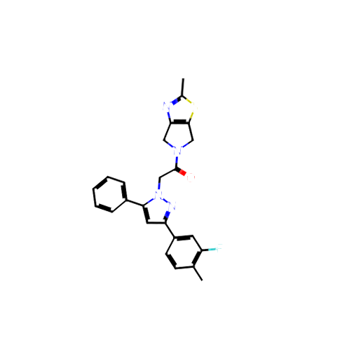 Cc1nc2c(s1)CN(C(=O)Cn1nc(-c3ccc(C)c(F)c3)cc1-c1ccccc1)C2